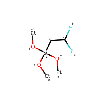 CCO[Si](CC(F)F)(OCC)OCC